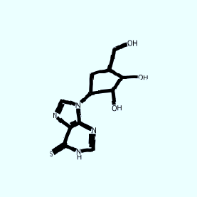 OCC1CC(n2cnc3c(=S)[nH]cnc32)C(O)C1O